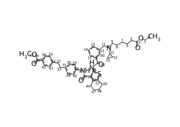 CCOC(=O)CCCCCN(Cc1cccc(C(=O)Nc2sc3c(c2C(=O)Nc2ccc(CCc4ccc(C(=O)OC)cc4)cc2)CCCC3)c1)C1CC1